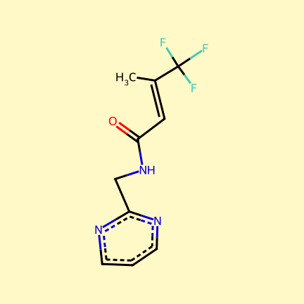 C/C(=C\C(=O)NCc1ncccn1)C(F)(F)F